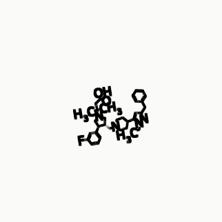 CCn1nc(Cc2ccccc2)cc1C1CCN(C[C@H]2CN(C(C)(C)CC(=O)O)C[C@@H]2c2cccc(F)c2)CC1